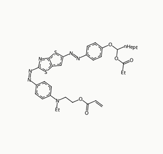 C=CC(=O)OCCN(CC)c1ccc(/N=N\c2nc3sc(N=Nc4ccc(OC(CCCCCCC)OC(=O)CC)cc4)cc3s2)cc1